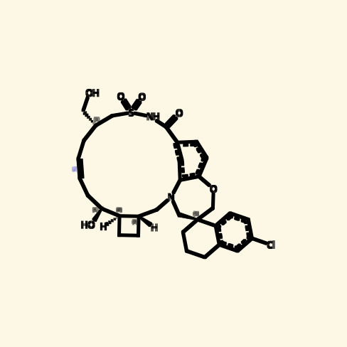 O=C1NS(=O)(=O)C[C@@H](CO)C/C=C\C[C@H](O)[C@@H]2CC[C@H]2CN2C[C@@]3(CCCc4cc(Cl)ccc43)COc3ccc1cc32